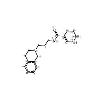 O=C(NCCCN1CCc2ccccc2C1)C1=CNNC=C1